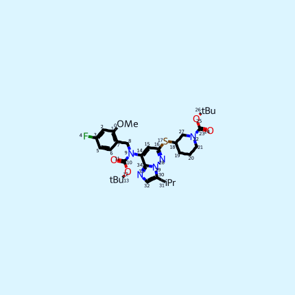 COc1cc(F)ccc1CN(C(=O)OC(C)(C)C)c1cc(SC2CCCN(C(=O)OC(C)(C)C)C2)nn2c(C(C)C)cnc12